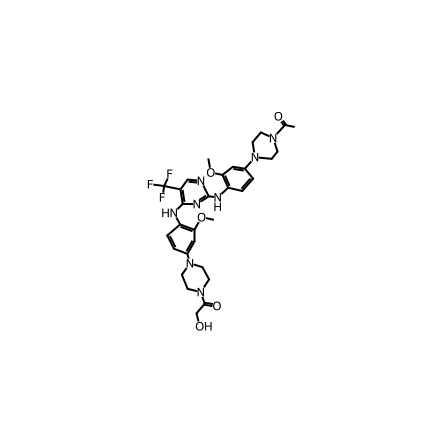 COc1cc(N2CCN(C(C)=O)CC2)ccc1Nc1ncc(C(F)(F)F)c(Nc2ccc(N3CCN(C(=O)CO)CC3)cc2OC)n1